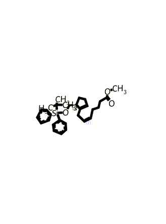 COC(=O)CCC/C=C\CC1=CCC[C@@H]1CO[Si](c1ccccc1)(c1ccccc1)C(C)(C)C